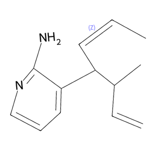 C=CC(C)C(/C=C\C)c1cccnc1N